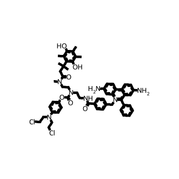 Cc1c(C)c(O)c(C(C)(C)CC(=O)N(C)CCN(CCNC(=O)c2ccc(C[n+]3c(-c4ccccc4)c4cc(N)ccc4c4ccc(N)cc43)cc2)C(=O)Oc2ccc(N(CCCl)CCCl)cc2)c(C)c1O